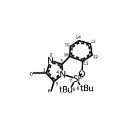 Cc1nc2n(c1C)[Si](C(C)(C)C)(C(C)(C)C)Oc1ccccc1-2